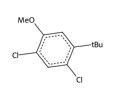 COc1cc(C(C)(C)C)c(Cl)cc1Cl